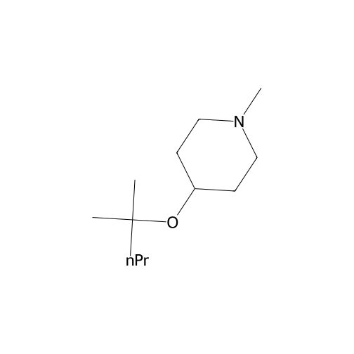 CCCC(C)(C)OC1CCN(C)CC1